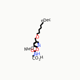 CCCCCCCCCCCCCCCCOCc1cnc(OC(=O)NCC(=O)O)c(OC)c1